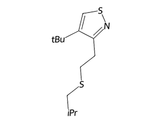 CC(C)CSCCc1nscc1C(C)(C)C